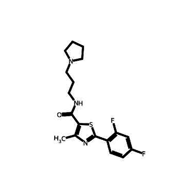 Cc1nc(-c2ccc(F)cc2F)sc1C(=O)NCCCN1CCCC1